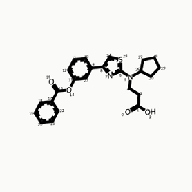 O=C(O)CCN(c1nc(-c2cccc(OC(=O)c3ccccc3)c2)cs1)C1CCCC1